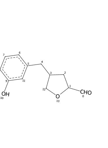 O=CC1CC(Cc2cccc(O)c2)CO1